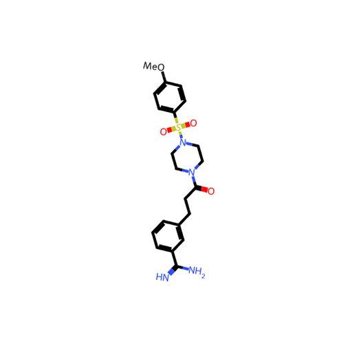 COc1ccc(S(=O)(=O)N2CCN(C(=O)CCc3cccc(C(=N)N)c3)CC2)cc1